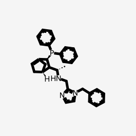 C[C@H](NCc1nccn1Cc1ccccc1)C1[C@H]2CC=C(C2)[C@H]1P(c1ccccc1)c1ccccc1